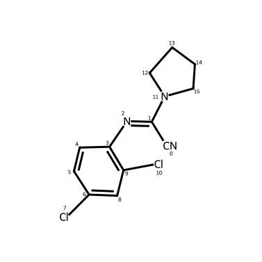 N#CC(=Nc1ccc(Cl)cc1Cl)N1CCCC1